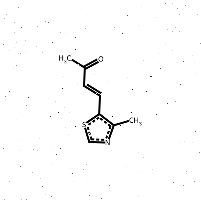 CC(=O)C=Cc1scnc1C